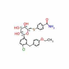 CCOc1ccc(Cc2cc([C@@H]3O[C@H](CSc4ccc(C(N)=O)cc4)[C@H](O)[C@@H](O)[C@H]3O)ccc2Cl)cc1